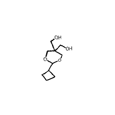 OCC1(CO)COC(C2CCC2)OC1